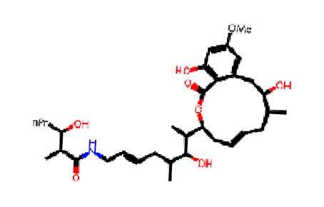 CCCC(O)C(C)C(=O)NC/C=C/CC(C)C(O)C(C)C1C/C=C/CC(C)C(O)Cc2cc(OC)cc(O)c2C(=O)O1